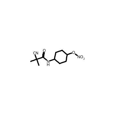 CC(C)(C#N)C(=O)NC1CCC(O[N+](=O)[O-])CC1